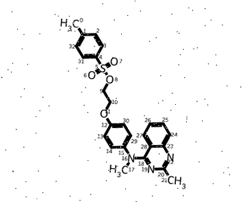 Cc1ccc(S(=O)(=O)OCCOc2ccc(N(C)c3nc(C)nc4ccccc34)cc2)cc1